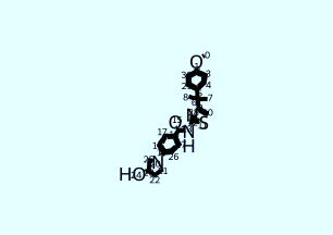 COc1ccc(C(C)(C)c2csc(NC(=O)c3ccc(N4CCC(O)C4)cc3)n2)cc1